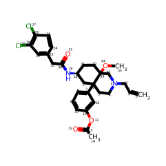 C=CCN1CCC2(c3cccc(OC(C)=O)c3)C[C@@H](NC(=O)Cc3ccc(Cl)c(Cl)c3)CCC2(OC)C1